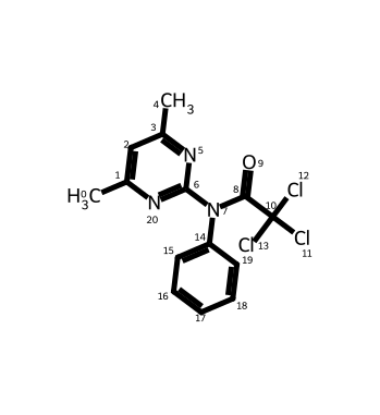 Cc1cc(C)nc(N(C(=O)C(Cl)(Cl)Cl)c2ccccc2)n1